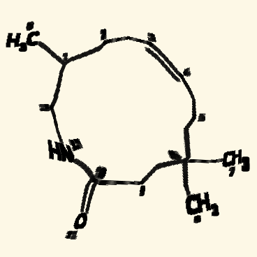 CC1C/C=C\CC(C)(C)CC(=O)NC1